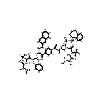 CN[C@@H](C)C(=O)N[C@H](C(=O)N1Cc2ccccc2C[C@H]1CN(CCc1ccc2ccccc2c1)C(=O)c1ccc(C(=O)N[C@H]2C[C@@H](C(=O)N[C@@H]3CCCc4ccccc43)N(C(=O)[C@@H](NC(=O)[C@H](C)NC)C(C)(C)C)C2)cc1)C(C)(C)C